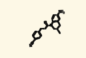 CC1Cc2cc(N)ccc2N(C(=O)CCc2ccc(C#N)cc2)C1